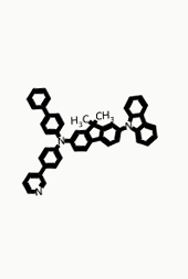 CC1(C)c2cc(N(c3ccc(-c4ccccc4)cc3)c3ccc(-c4cccnc4)cc3)ccc2-c2ccc(N3c4ccccc4C4C=CC=CC43)cc21